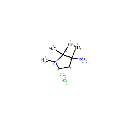 CN1CCC(C)(N)C1(C)C.Cl.Cl